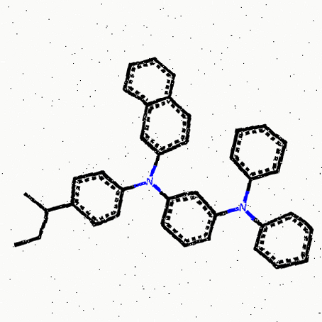 CCC(C)c1ccc(N(c2cccc(N(c3ccccc3)c3ccccc3)c2)c2ccc3ccccc3c2)cc1